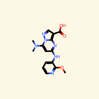 COc1ncccc1Nc1cc(N(C)C)n2ncc(C(=O)O)c2n1